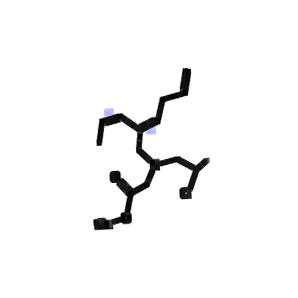 C=CC/C=C(\C=C/C)CN(CC(=O)OC(C)(C)C)CC(C)Cl